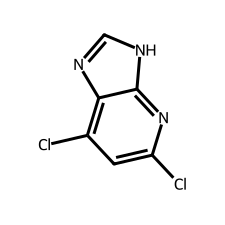 Clc1cc(Cl)c2nc[nH]c2n1